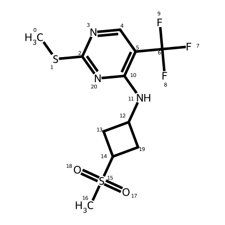 CSc1ncc(C(F)(F)F)c(NC2CC(S(C)(=O)=O)C2)n1